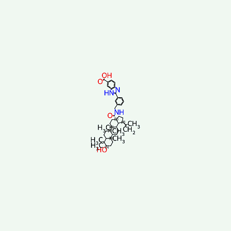 C=C(C)[C@@H]1CC[C@]2(C(=O)NCc3cccc(-c4nc5ccc(C(=O)O)cc5[nH]4)c3)CC[C@]3(C)C(CCC4[C@@]5(C)CC[C@H](O)C(C)(C)C5CC[C@]43C)C12